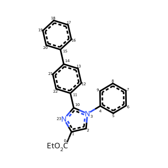 CCOC(=O)c1cn(-c2ccccc2)c(-c2ccc(-c3ccccc3)cc2)n1